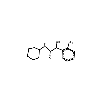 Cc1ccccc1C(O)C(=O)NC1CCCCC1